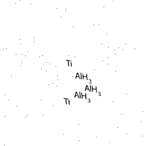 [AlH3].[AlH3].[AlH3].[Ti].[Ti]